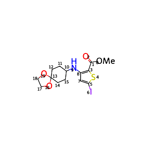 COC(=O)c1sc(I)cc1NC1CCC2(CC1)OCCO2